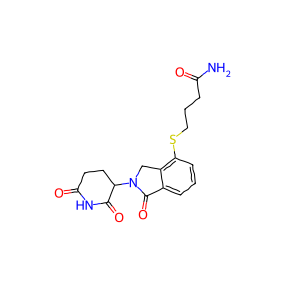 NC(=O)CCCSc1cccc2c1CN(C1CCC(=O)NC1=O)C2=O